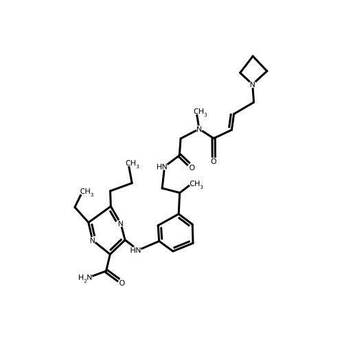 CCCc1nc(Nc2cccc(C(C)CNC(=O)CN(C)C(=O)/C=C/CN3CCC3)c2)c(C(N)=O)nc1CC